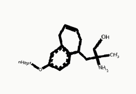 CCCCCCCOc1ccc2c(c1)CC=CCC2CC(C)(N)CO